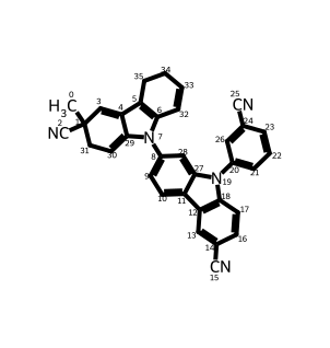 CC1(C#N)C=c2c3c(n(-c4ccc5c6cc(C#N)ccc6n(-c6cccc(C#N)c6)c5c4)c2=CC1)C=CCC3